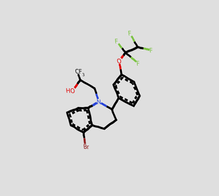 OC(CN1c2cccc(Br)c2CCC1c1cccc(OC(F)(F)C(F)F)c1)C(F)(F)F